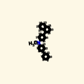 CN(c1ccc(-c2ccccc2)cc1)c1ccc(-c2cccc3ccccc23)cc1